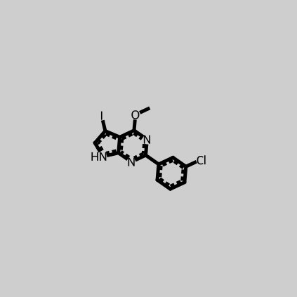 COc1nc(-c2cccc(Cl)c2)nc2[nH]cc(I)c12